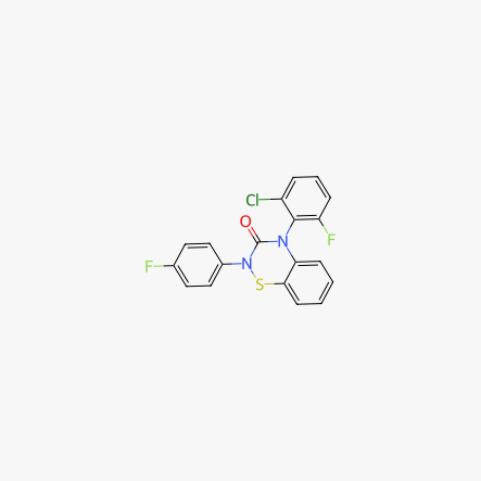 O=C1N(c2ccc(F)cc2)Sc2ccccc2N1c1c(F)cccc1Cl